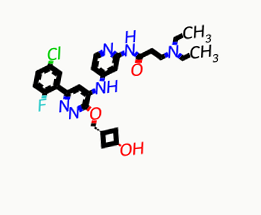 CCN(CC)CCC(=O)Nc1cc(Nc2cc(-c3cc(Cl)ccc3F)nnc2OC[C@H]2C[C@@H](O)C2)ccn1